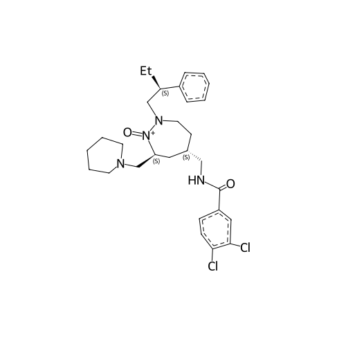 CC[C@H](CN1CC[C@H](CNC(=O)c2ccc(Cl)c(Cl)c2)C[C@@H](CN2CCCCC2)[N+]1=O)c1ccccc1